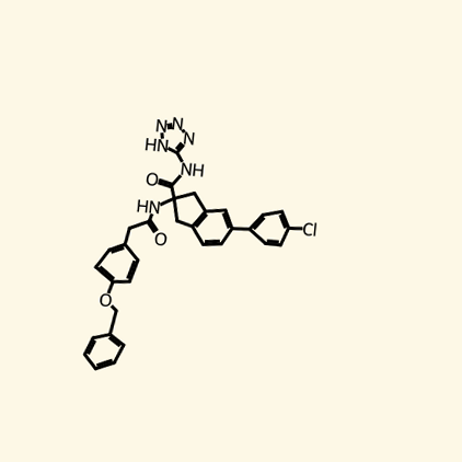 O=C(Cc1ccc(OCc2ccccc2)cc1)NC1(C(=O)Nc2nnn[nH]2)Cc2ccc(-c3ccc(Cl)cc3)cc2C1